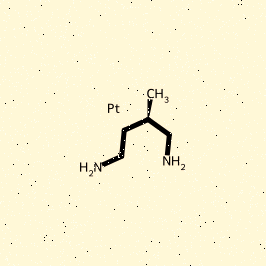 C[C@@H](CN)CCN.[Pt]